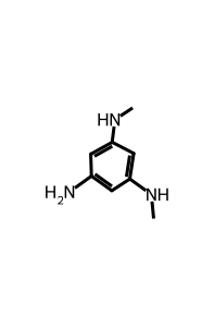 CNc1cc(N)cc(NC)c1